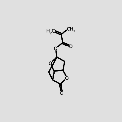 C=C(C)C(=O)OC12CC3OC(=O)C(C1)C3O2